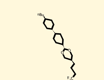 CCCC[C@H]1CC[C@H](C2CCC([C@H]3OC[C@H](CCCC(F)(F)F)CO3)CC2)CC1